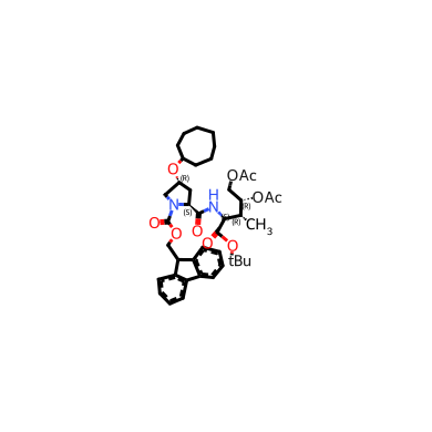 CC(=O)OC[C@H](OC(C)=O)[C@H](C)[C@H](NC(=O)[C@@H]1C[C@@H](OC2CCCCCCC2)CN1C(=O)OCC1c2ccccc2-c2ccccc21)C(=O)OC(C)(C)C